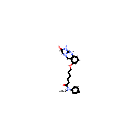 CCCCCCN(C(=O)CCCCCOc1cccc2c1CN1CC(=O)NC1=N2)c1ccccc1